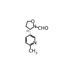 Cc1ccc([C@@H]2CCON2C=O)cn1